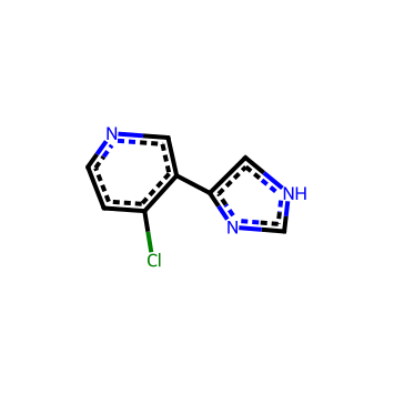 Clc1ccncc1-c1c[nH]cn1